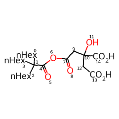 CCCCCCC(CCCCCC)(CCCCCC)C(=O)OC(=O)CC(O)(CC(=O)O)C(=O)O